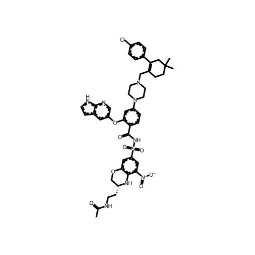 CC(=O)NCC[C@@H]1COc2cc(S(=O)(=O)NC(=O)c3ccc(N4CCN(CC5=C(c6ccc(Cl)cc6)CC(C)(C)CC5)CC4)cc3Oc3cnc4[nH]ccc4c3)cc([N+](=O)[O-])c2N1